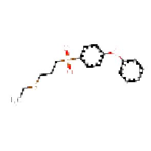 CCSCCCS(=O)(=O)c1ccc(Oc2ccccc2)cc1